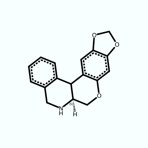 c1ccc2c(c1)CN[C@@H]1COc3cc4c(cc3C21)OCO4